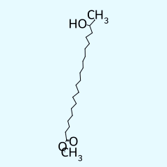 CCC(O)CCCCCCCCCCCCCCCCCCC(=O)OC